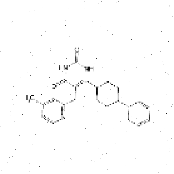 Cc1ccnc(Cc2c(C3CCC(c4ccccc4)CC3)[nH]c(=O)[nH]c2=O)c1